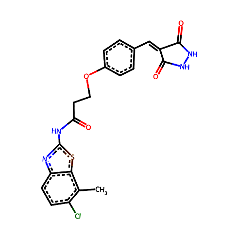 Cc1c(Cl)ccc2nc(NC(=O)CCOc3ccc(C=C4C(=O)NNC4=O)cc3)sc12